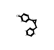 Clc1ccc(C2CC2Cc2ccccc2)cc1